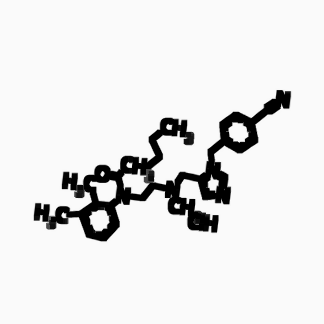 CCCC[C@@H](CN(C(C)=O)c1cccc(C)c1C)N(C)Cc1cncn1Cc1ccc(C#N)cc1.Cl